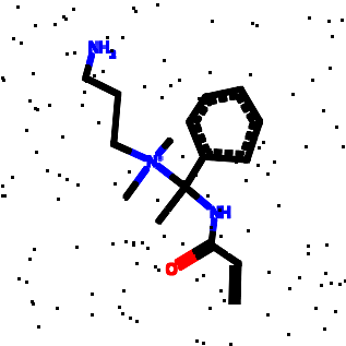 C=CC(=O)NC(C)(c1ccccc1)[N+](C)(C)CCCN